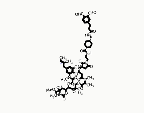 C/C=C(\C)Cc1cc(OC)c(Cl)c(N(C)C(=O)C[C@H](OC(=O)[C@H](C)N(C)C(=O)CCSC2CC(=O)N(CCNC(=O)[C@H]3CC[C@H](CNC(=O)CCc4ccc(C=O)c(C=O)c4)CC3)C2=O)C2(C)OC2C(C)C2CC(O)(C(C)OC)NC(=O)O2)c1